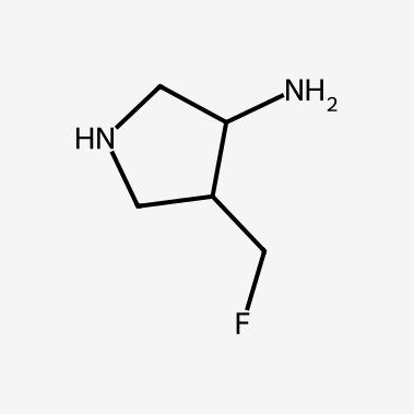 NC1CNCC1CF